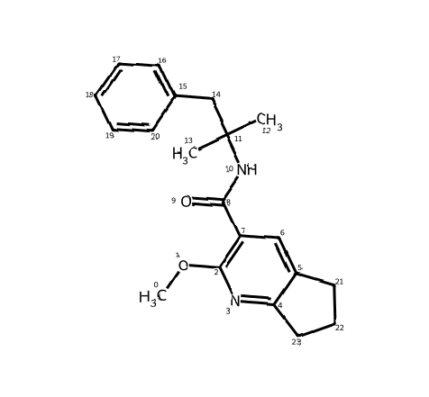 COc1nc2c(cc1C(=O)NC(C)(C)Cc1ccccc1)CCC2